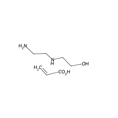 C=CC(=O)O.NCCNCCO